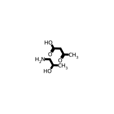 CC(=O)CC(=O)O.CC(O)CN